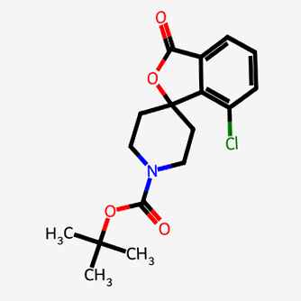 CC(C)(C)OC(=O)N1CCC2(CC1)OC(=O)c1cccc(Cl)c12